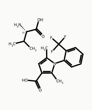 CC(C)[C@H](N)C(=O)O.Cc1cc(C(=O)O)c(C)n1-c1ccccc1C(F)(F)F